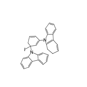 IC1(n2c3ccccc3c3ccccc32)C=C(n2c3c(c4ccccc42)C=CCC3)C=CC1